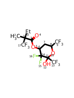 CCC(C)(C(=O)OC1CC(C(F)(F)F)OC(O)(C(F)(F)F)C1(F)F)C(F)(F)F